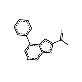 CC(=O)c1cc2c(-c3ccccc3)cncc2s1